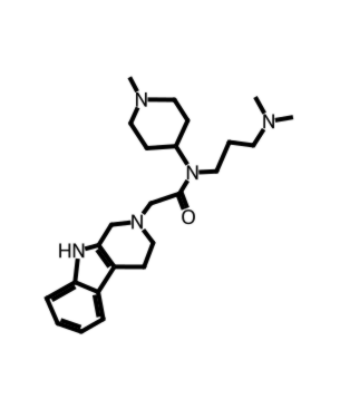 CN(C)CCCN(C(=O)CN1CCc2c([nH]c3ccccc23)C1)C1CCN(C)CC1